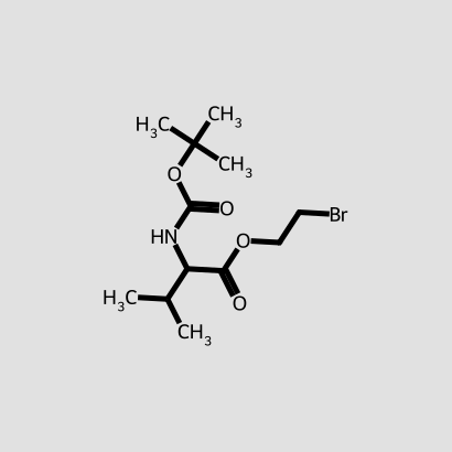 CC(C)C(NC(=O)OC(C)(C)C)C(=O)OCCBr